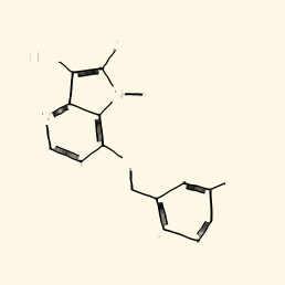 CCn1c(C)c(C)c2nccc(OCc3cccc(C)c3)c21